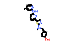 Cc1ccnc(Nc2cccc(-c3cnc(N(C)Cc4ccc(O)cc4)s3)n2)c1